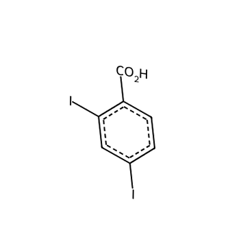 O=C(O)c1ccc(I)cc1I